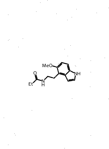 CCC(=O)NCCc1c(OC)ccc2[nH]ccc12